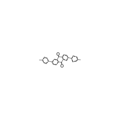 Cc1ccc(-c2ccc3c(c2)C(=O)c2ccc(-c4ccc(C)cc4)cc2C3=O)cc1